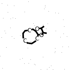 CC1OC2CCCCCCCCCCC2OC1C